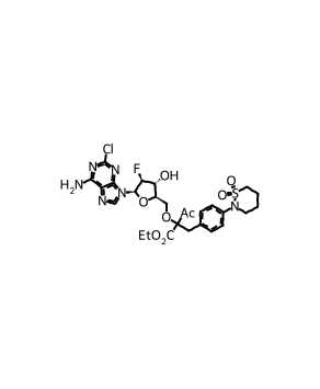 CCOC(=O)C(Cc1ccc(N2CCCCS2(=O)=O)cc1)(OC[C@H]1O[C@@H](n2cnc3c(N)nc(Cl)nc32)[C@@H](F)[C@@H]1O)C(C)=O